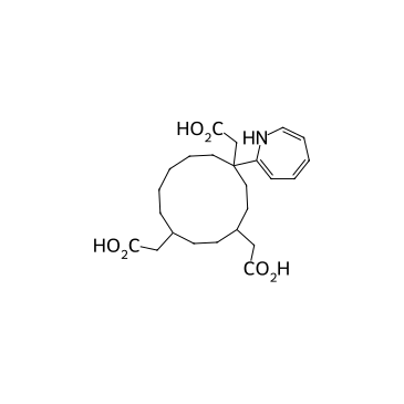 O=C(O)CC1CCCCCC(CC(=O)O)(C2=CC=CC=CN2)CCC(CC(=O)O)CC1